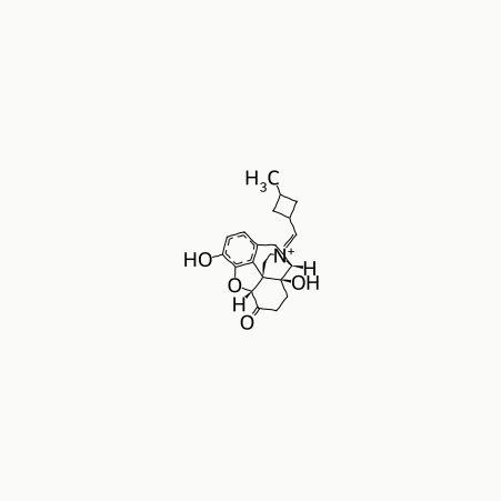 CC1CC(/C=[N+]2\CC[C@]34c5c6ccc(O)c5O[C@H]3C(=O)CC[C@@]4(O)[C@H]2C6)C1